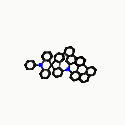 c1ccc(N2c3ccccc3C3(c4ccccc4-c4c(N(c5ccccc5-c5ccccc5-c5cccc6ccccc56)c5cc6ccccc6c6ccccc56)cccc43)c3ccccc32)cc1